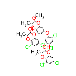 CC(Oc1ccc(Cl)cc1Cl)C(=O)O.COC(=O)C(C)Oc1ccc(Oc2ccc(Cl)cc2Cl)cc1.C[C@@H](Oc1ccc(Cl)cc1Cl)C(=O)O